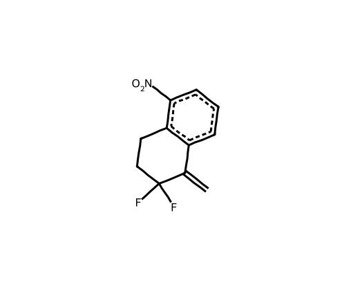 C=C1c2cccc([N+](=O)[O-])c2CCC1(F)F